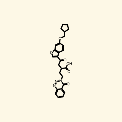 O=C(CC(CCn1nnc2ccccc2c1=O)C(=O)O)c1coc2cc(OCC3CCCC3)ccc12